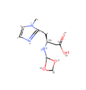 Cn1ccnc1C[C@H](NC1OCO1)C(=O)O